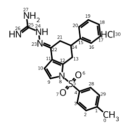 Cc1ccc(S(=O)(=O)n2ccc3c2CC(c2ccccc2)C/C3=N\NC(=N)N)cc1.Cl